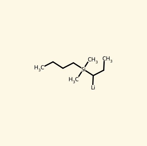 [Li][CH](CC)[Si](C)(C)CCCC